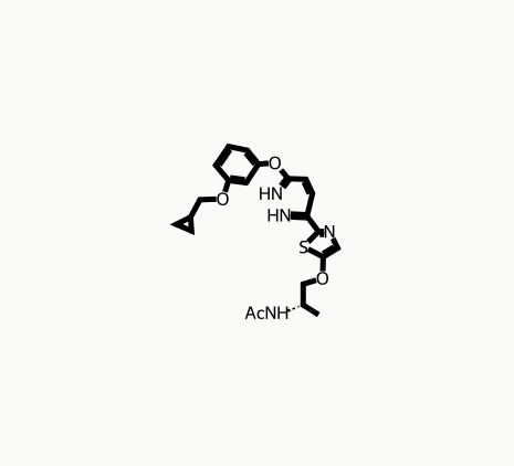 CC(=O)N[C@@H](C)COc1cnc(C(=N)/C=C\C(=N)Oc2cccc(OCC3CC3)c2)s1